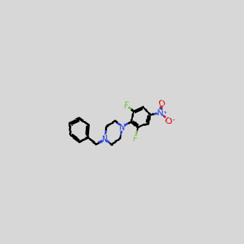 O=[N+]([O-])c1cc(F)c(N2CCN(Cc3ccccc3)CC2)c(F)c1